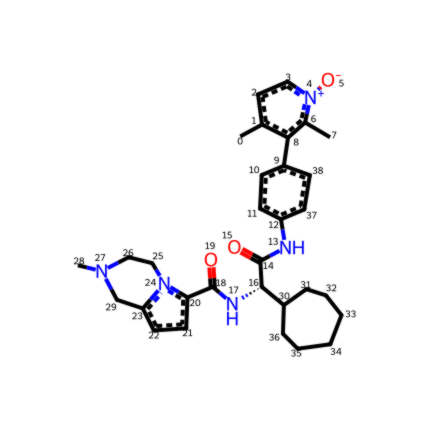 Cc1cc[n+]([O-])c(C)c1-c1ccc(NC(=O)[C@@H](NC(=O)c2ccc3n2CCN(C)C3)C2CCCCCC2)cc1